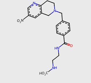 O=C(O)NCCNC(=O)c1ccc(CN2CCc3ncc([N+](=O)[O-])cc3C2)cc1